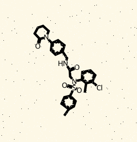 Cc1ccc(S(=O)(=O)N(CC(=O)NCc2ccc(N3CCCCC3=O)cc2)c2cccc(Cl)c2C)cc1